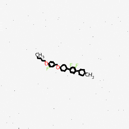 CCCCCOc1ccc(COC2CCC(c3ccc(C4CCC(C)CC4)c(F)c3F)CC2)cc1F